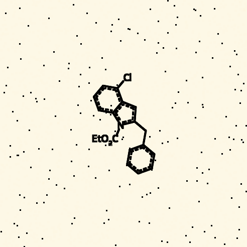 CCOC(=O)n1c(Cc2ccccc2)cc2c(Cl)cccc21